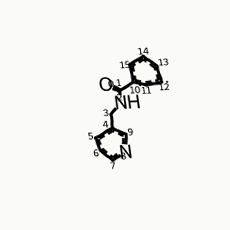 O=C(NCc1cccnc1)c1[c][c]ccc1